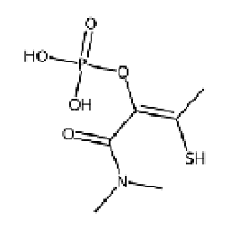 CC(S)=C(OP(=O)(O)O)C(=O)N(C)C